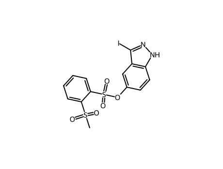 CS(=O)(=O)c1ccccc1S(=O)(=O)Oc1ccc2[nH]nc(I)c2c1